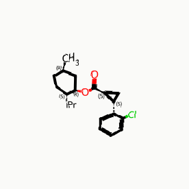 CC(C)[C@@H]1CC[C@@H](C)C[C@H]1OC(=O)[C@H]1C[C@@H]1c1ccccc1Cl